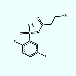 CC(C)CCC(=O)N=S(N)(=O)c1cc(F)ccc1F